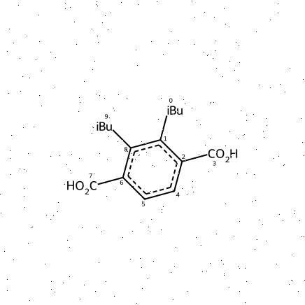 CCC(C)c1c(C(=O)O)ccc(C(=O)O)c1C(C)CC